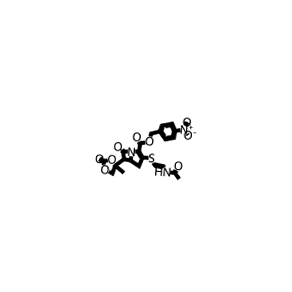 CC(=O)NC=CSC1=C(C(=O)OCc2ccc([N+](=O)[O-])cc2)N2C(=O)C(C3(C)COC(=O)O3)C2C1